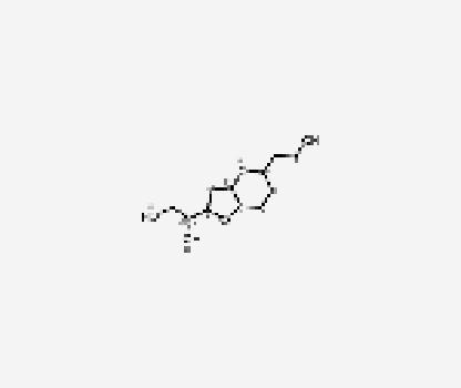 OCCC1CCC2OC([C@H](O)CO)CC2O1